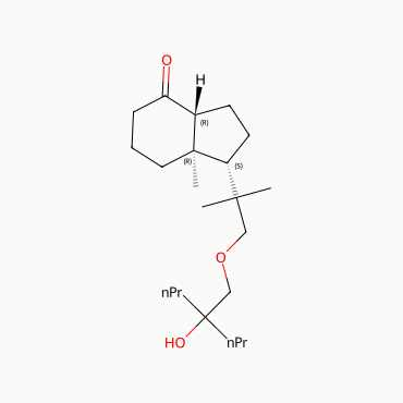 CCCC(O)(CCC)COCC(C)(C)[C@H]1CC[C@H]2C(=O)CCC[C@]12C